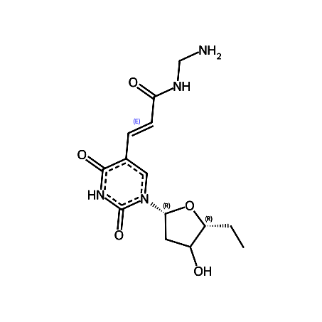 CC[C@H]1O[C@@H](n2cc(/C=C/C(=O)NCN)c(=O)[nH]c2=O)CC1O